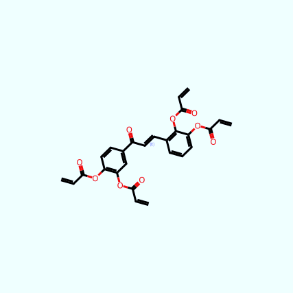 C=CC(=O)Oc1ccc(C(=O)/C=C/c2cccc(OC(=O)C=C)c2OC(=O)C=C)cc1OC(=O)C=C